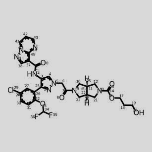 O=C(Nc1cn(CC(=O)N2C[C@@H]3CN(C(=O)OCCCO)C[C@@H]3C2)nc1-c1cc(Cl)ccc1OC(F)F)c1cnn2cccnc12